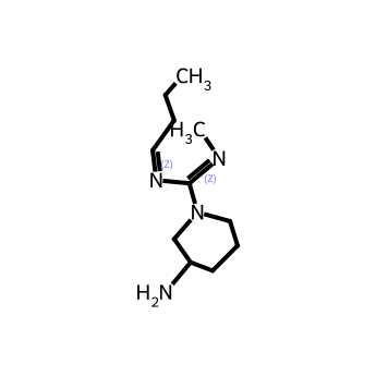 CCC/C=N\C(=N/C)N1CCCC(N)C1